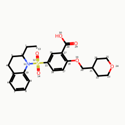 CCC1CCc2ccccc2N1S(=O)(=O)c1ccc(OCC2CCOCC2)c(C(=O)O)c1